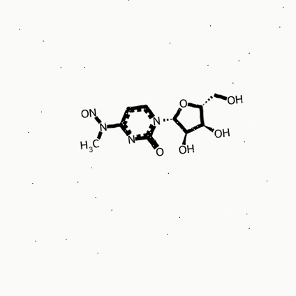 CN(N=O)c1ccn([C@@H]2O[C@H](CO)[C@@H](O)[C@H]2O)c(=O)n1